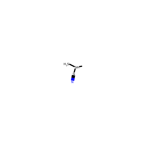 C[SiH]([SiH3])[Si]#N